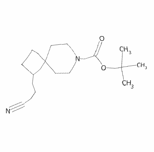 CC(C)(C)OC(=O)N1CCC2(CCC2CC#N)CC1